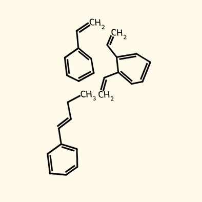 C=Cc1ccccc1.C=Cc1ccccc1C=C.CCC=Cc1ccccc1